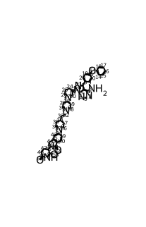 Nc1ncnc2c1c(-c1ccc(Oc3ccccc3)cc1)nn2[C@@H]1CCCN(C2CCN(CCC3CCN(c4ccc5c(c4)CN(C4CCC(=O)NC4=O)C5=O)CC3)CC2)C1